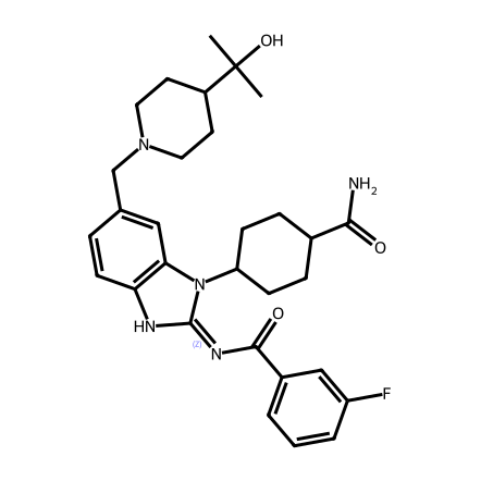 CC(C)(O)C1CCN(Cc2ccc3[nH]/c(=N/C(=O)c4cccc(F)c4)n(C4CCC(C(N)=O)CC4)c3c2)CC1